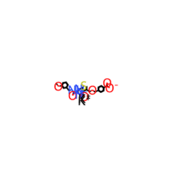 COc1cccc(CNC(=O)c2nc3scc(COCc4ccc(C(=O)[O-])cc4)c3c(=O)[n-]2)c1.[K+].[K+]